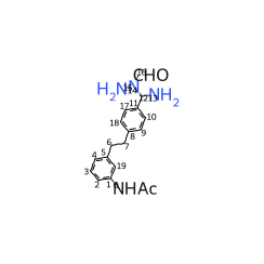 CC(=O)Nc1cccc(CCc2ccc(C(N)N(N)C=O)cc2)c1